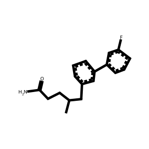 CC(CCC(N)=O)Cc1cccc(-c2cccc(F)c2)c1